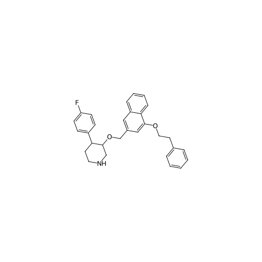 Fc1ccc(C2CCNCC2OCc2cc(OCCc3ccccc3)c3ccccc3c2)cc1